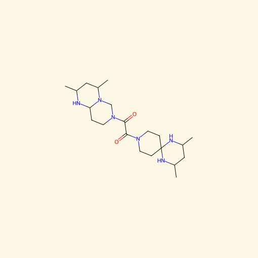 CC1CC(C)N2CN(C(=O)C(=O)N3CCC4(CC3)NC(C)CC(C)N4)CCC2N1